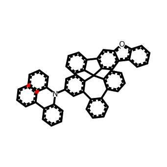 c1ccc(-c2ccccc2N(c2ccccc2)c2ccc3c(c2)-c2ccccc2-c2ccccc2C32c3ccccc3-c3cc4oc5ccccc5c4cc32)cc1